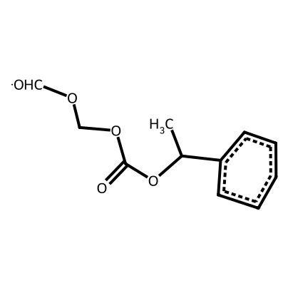 CC(OC(=O)OCO[C]=O)c1ccccc1